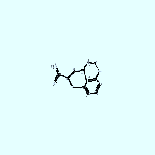 NC(=O)C1Cc2cccc3c2C(C1)NCC3